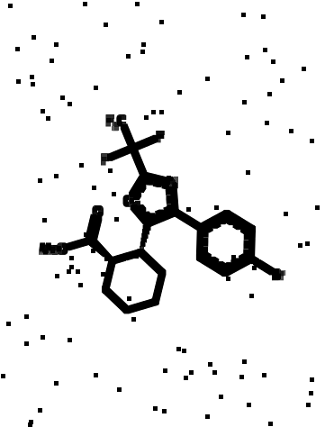 COC(=O)[C@@H]1CCCC[C@H]1c1oc(C(F)(F)C(F)(F)F)nc1-c1ccc(Br)cc1